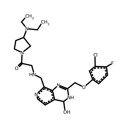 CCN(CC)C1CCN(C(=O)CNCc2nccc3c2N=C(COc2ccc(F)c(Cl)c2)NC3O)C1